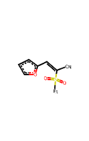 CCS(=O)(=O)C(C#N)=Cc1ccco1